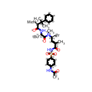 CN[C@H](C(=O)N[C@H](C(=O)N(C)[C@H](C=C(C)C(=O)NS(=O)(=O)c1ccc(NC(=O)C(F)(F)F)cc1)C(C)C)C(C)(C)C)C(C)(C)c1ccccc1